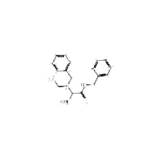 CC(=O)NC(C(=O)NCc1ccccc1)N(CC(=O)O)Cc1ccccc1